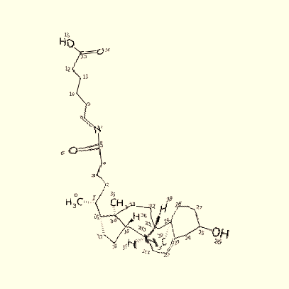 C[C@H](CCCC(=O)N=CCCCCC(=O)O)[C@H]1CC[C@H]2[C@@H]3CC=C4CC(O)CC[C@]4(C)[C@H]3CC[C@]12C